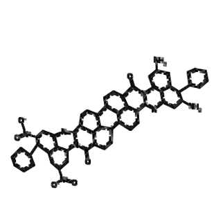 Nc1cc2c(-c3ccccc3)c(N)cc3nc4c5ccc6c7ccc8c(=O)n9c%10cc([N+](=O)[O-])cc%11c(-c%12ccccc%12)c([N+](=O)[O-])cc(nc9c9ccc(c%12ccc(c(=O)n4c(c1)c32)c5c6%12)c7c89)c%11%10